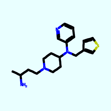 CC(N)CCN1CCC(N(Cc2ccsc2)c2cccnc2)CC1